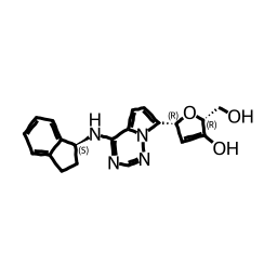 OC[C@H]1O[C@@H](c2ccc3c(N[C@H]4CCc5ccccc54)ncnn23)C=C1O